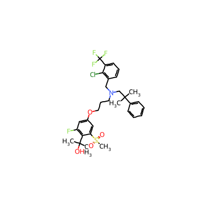 CC(C)(O)c1c(F)cc(OCCCN(Cc2cccc(C(F)(F)F)c2Cl)CC(C)(C)c2ccccc2)cc1S(C)(=O)=O